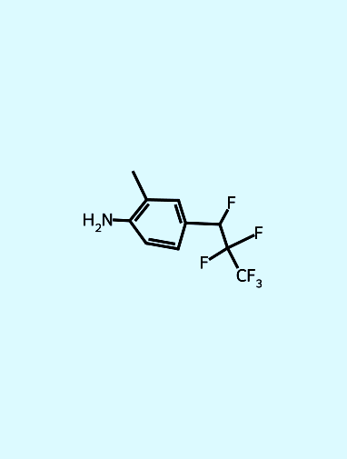 Cc1cc(C(F)C(F)(F)C(F)(F)F)ccc1N